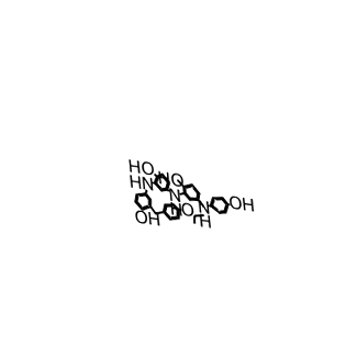 CC(C)Oc1ccc(Cc2cc(Nc3cc(Nc4cc(Nc5ccc(O)cc5)ccc4O)ccc3O)ccc2O)cc1